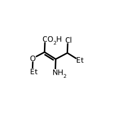 CCOC(C(=O)O)=C(N)C(Cl)CC